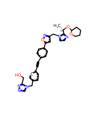 C[C@H](OC1CCCCO1)c1nccn1Cc1cc(-c2ccc(C#Cc3ccc(Cn4cnnc4CO)cc3)cc2)on1